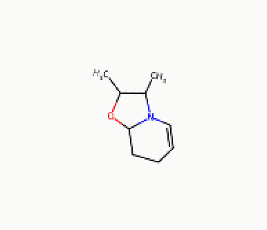 CC1OC2CCC=CN2C1C